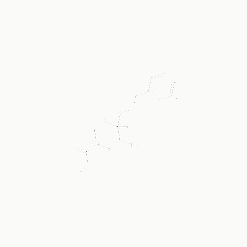 CC(C)(C)OC(=O)N1CCC(O)(COCc2ccccc2)C(F)C1